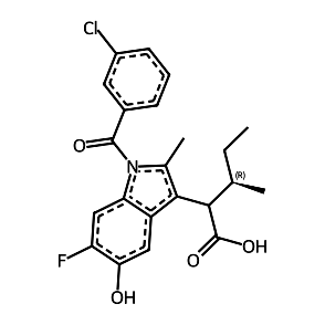 CC[C@@H](C)C(C(=O)O)c1c(C)n(C(=O)c2cccc(Cl)c2)c2cc(F)c(O)cc12